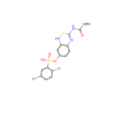 COC(=O)NC1=Nc2ccc(OS(=O)(=O)c3cc(Cl)ccc3Cl)cc2NS1